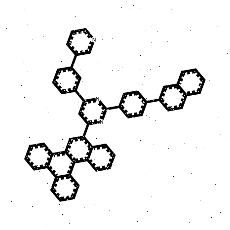 c1cncc(-c2cccc(-c3cc(-c4cc5c6ccccc6c6ccccc6c5c5ccccc45)nc(-c4ccc(-c5ccc6ccccc6c5)cc4)n3)c2)c1